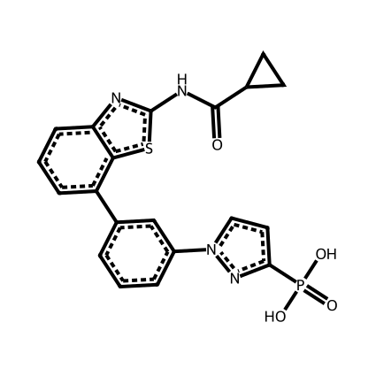 O=C(Nc1nc2cccc(-c3cccc(-n4ccc(P(=O)(O)O)n4)c3)c2s1)C1CC1